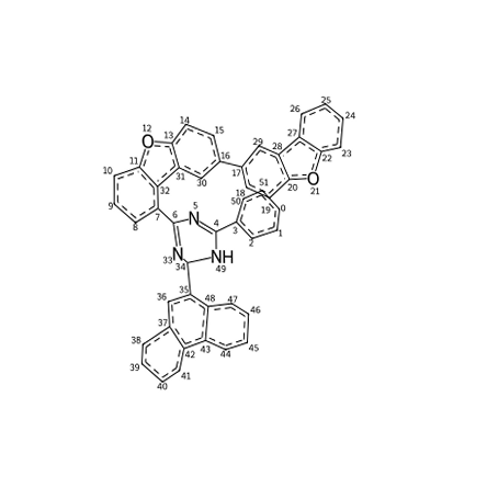 c1ccc(C2=NC(c3cccc4oc5ccc(-c6ccc7oc8ccccc8c7c6)cc5c34)=NC(c3cc4ccccc4c4ccccc34)N2)cc1